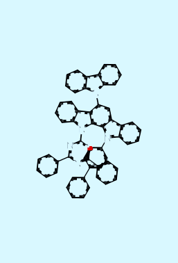 c1ccc(-c2ccc(-n3c4ccccc4c4cc(-n5c6ccccc6c6ccccc65)c5c6ccccc6n(-c6nc(-c7ccccc7)nc(-c7ccccc7)n6)c5c43)cc2)cc1